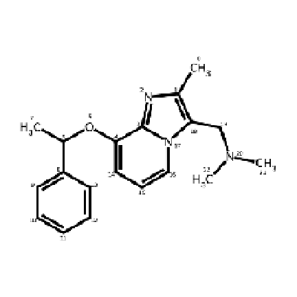 Cc1nc2c(OC(C)c3ccccc3)cccn2c1CN(C)C